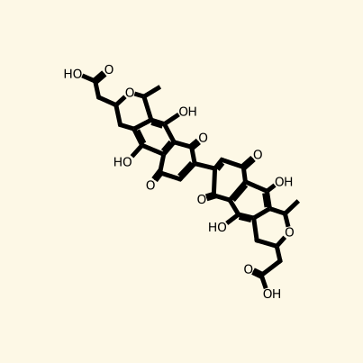 CC1OC(CC(=O)O)Cc2c(O)c3c(c(O)c21)C(=O)C=C(C1=CC(=O)c2c(O)c4c(c(O)c2C1=O)C(C)OC(CC(=O)O)C4)C3=O